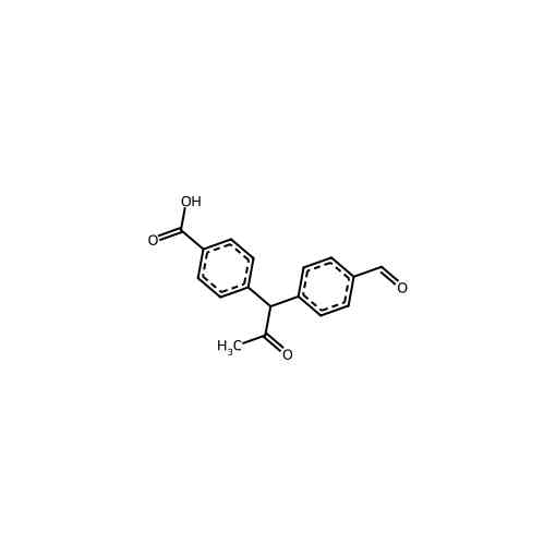 CC(=O)C(c1ccc(C=O)cc1)c1ccc(C(=O)O)cc1